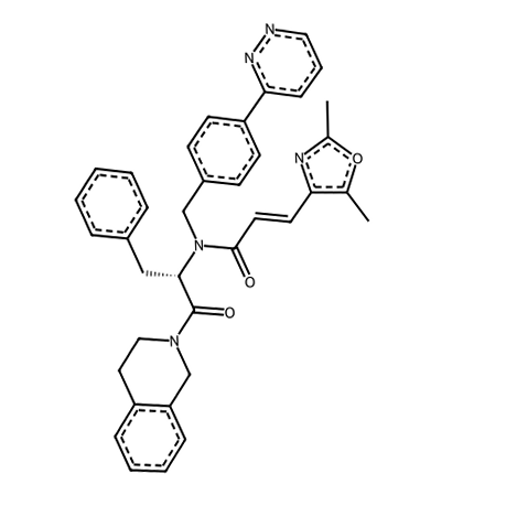 Cc1nc(/C=C/C(=O)N(Cc2ccc(-c3cccnn3)cc2)[C@@H](Cc2ccccc2)C(=O)N2CCc3ccccc3C2)c(C)o1